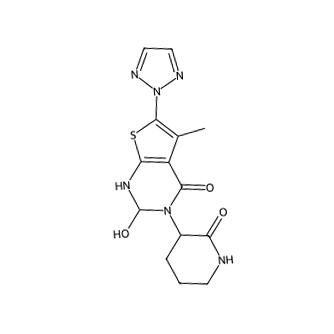 Cc1c(-n2nccn2)sc2c1C(=O)N(C1CCCNC1=O)C(O)N2